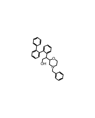 OCC(c1ccccc1-c1ccccc1-c1ccccc1)C1CN(Cc2ccccc2)CCO1